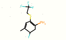 CC1=CC(SCC(F)(F)F)=C(P)CC1F